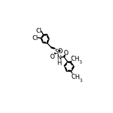 Cc1ccc(C(=O)NS(=O)(=O)/C=C/c2ccc(Cl)c(Cl)c2)c(C)c1